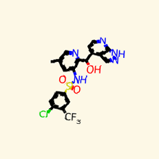 Cc1cnc(C(O)c2ccnc3[nH]ncc23)c(NS(=O)(=O)c2ccc(Cl)c(C(F)(F)F)c2)c1